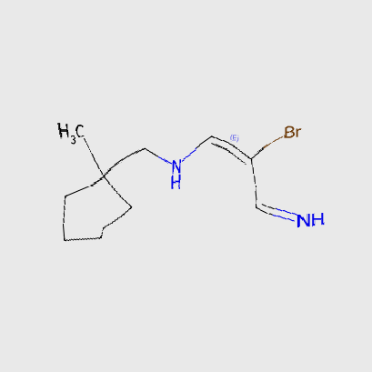 CC1(CN/C=C(/Br)C=N)CCCC1